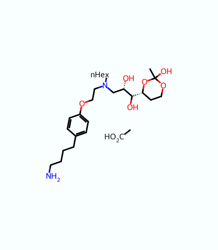 CC(=O)O.CCCCCCN(CCOc1ccc(CCCCN)cc1)C[C@H](O)C(O)[C@H]1CCOC(C)(O)O1